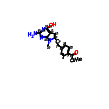 COC(=O)c1ccc(CCc2cc3c(O)nc(N)nc3n2C)cc1